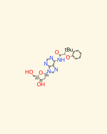 CC(C)(C)C(Oc1ccccc1)C(=O)Nc1ncnc2c1ncn2[C@H]1C[C@H](O)[C@@H](CO)O1